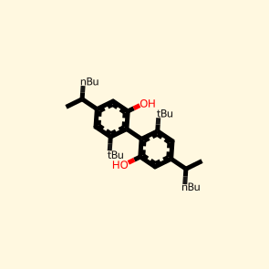 CCCCC(C)c1cc(O)c(-c2c(O)cc(C(C)CCCC)cc2C(C)(C)C)c(C(C)(C)C)c1